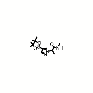 CNC(=O)C(C)n1cc(B2OC(C)(C)C(C)(C)O2)cn1